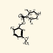 CCOc1ccc(F)c(COC(=O)N2[C@H](C)CNC[C@@H]2C)c1